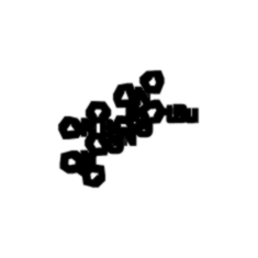 CC(C)(C)c1cc2c3c(c1)N(c1ccccc1)c1ccccc1B3c1cc3c(nc1O2)Oc1cc(-n2c4ccccc4c4ccccc42)cc2c1B3c1ccccc1N2c1ccccc1